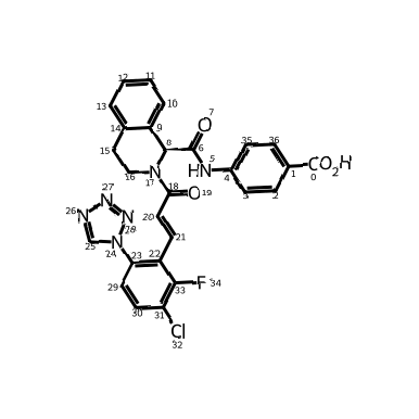 O=C(O)c1ccc(NC(=O)[C@@H]2c3ccccc3CCN2C(=O)/C=C/c2c(-n3cnnn3)ccc(Cl)c2F)cc1